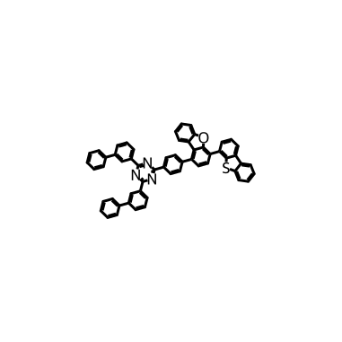 c1ccc(-c2cccc(-c3nc(-c4ccc(-c5ccc(-c6cccc7c6sc6ccccc67)c6oc7ccccc7c56)cc4)nc(-c4cccc(-c5ccccc5)c4)n3)c2)cc1